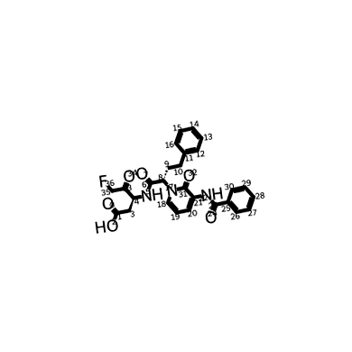 O=C(O)C[C@H](NC(=O)[C@H](CCc1ccccc1)n1cccc(NC(=O)c2ccccc2)c1=O)C(=O)CF